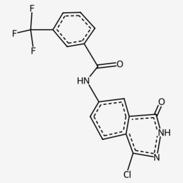 O=C(Nc1ccc2c(Cl)n[nH]c(=O)c2c1)c1cccc(C(F)(F)F)c1